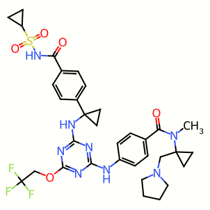 CN(C(=O)c1ccc(Nc2nc(NC3(c4ccc(C(=O)NS(=O)(=O)C5CC5)cc4)CC3)nc(OCC(F)(F)F)n2)cc1)C1(CN2CCCC2)CC1